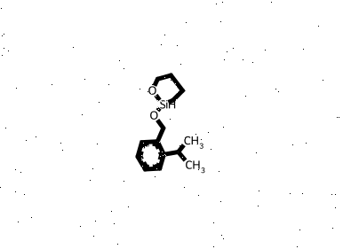 CC(C)c1ccccc1CO[SiH]1CCCCO1